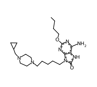 CCCCOc1nc(N)c2[nH]c(=O)n(CCCCCN3CCN(CC4CC4)CC3)c2n1